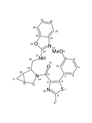 COc1cccc(-c2sc(C)nc2C(=O)N2CC3CC3C2CNc2nc3ccccc3o2)c1